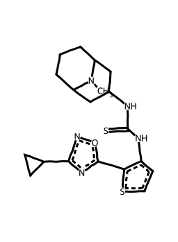 CN1C2CCCC1CC(NC(=S)Nc1ccsc1-c1nc(C3CC3)no1)C2